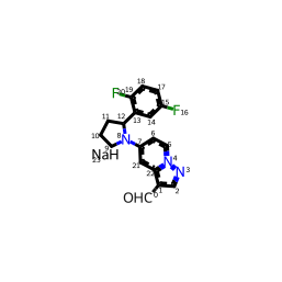 O=Cc1cnn2ccc(N3CCCC3c3cc(F)ccc3F)cc12.[NaH]